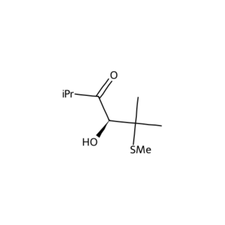 CSC(C)(C)[C@@H](O)C(=O)C(C)C